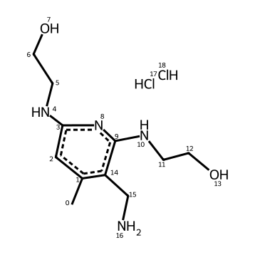 Cc1cc(NCCO)nc(NCCO)c1CN.Cl.Cl